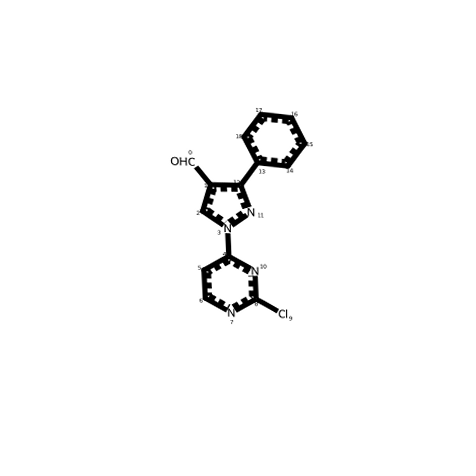 O=Cc1cn(-c2ccnc(Cl)n2)nc1-c1ccccc1